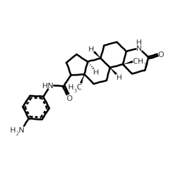 C[C@]12CCC(=O)NC1CC[C@@H]1[C@H]2CC[C@]2(C)C(C(=O)Nc3ccc(N)cc3)CC[C@@H]12